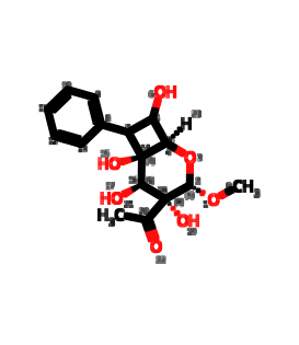 CO[C@H]1O[C@@H]2C(O)C(c3ccccc3)[C@@]2(O)[C@H](O)[C@]1(O)C(C)=O